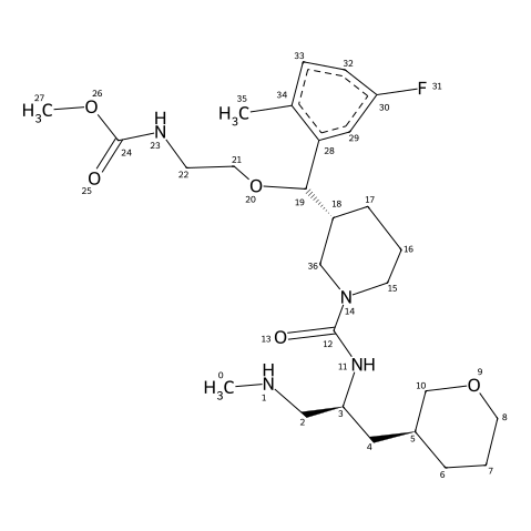 CNC[C@H](C[C@@H]1CCCOC1)NC(=O)N1CCC[C@@H](C(OCCNC(=O)OC)c2cc(F)ccc2C)C1